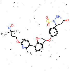 Cc1nc(OCCC(C)(C)N=O)ccc1-c1cccc2c1OC[C@H]2Oc1ccc(C(CC=O)N(N)[SH](=O)=O)cc1